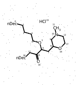 CCCCCCCCCCCCCCOC(CC1CN(C)CCO1)C(=O)CCCCCCCCCCC.Cl